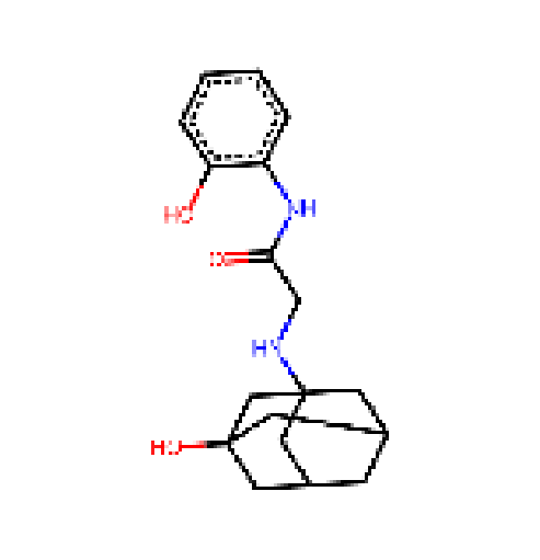 O=C(CNC12CC3CC(CC(O)(C3)C1)C2)Nc1ccccc1O